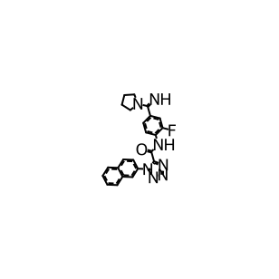 N=C(c1ccc(NC(=O)c2nnnn2-c2ccc3ccccc3c2)c(F)c1)N1CCCC1